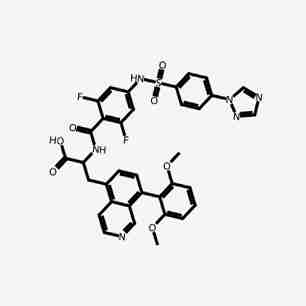 COc1cccc(OC)c1-c1ccc(CC(NC(=O)c2c(F)cc(NS(=O)(=O)c3ccc(-n4cncn4)cc3)cc2F)C(=O)O)c2ccncc12